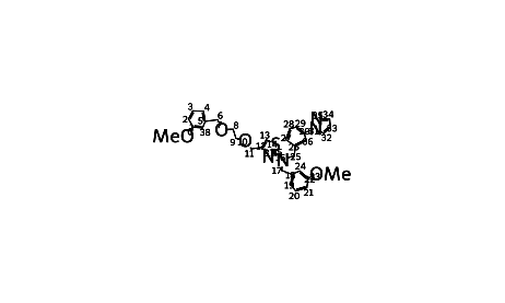 COc1cccc(COCCOCc2csc(N(Cc3cccc(OC)c3)Cc3cccc(-n4cccn4)c3)n2)c1